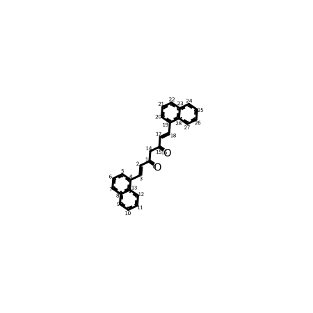 O=C(C=Cc1cccc2ccccc12)CC(=O)C=Cc1cccc2ccccc12